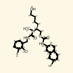 CN(C(=O)NCc1cccc(F)c1Cl)[C@@H](CCCCO)COC(=O)Nc1cc2cc(F)ccc2cn1